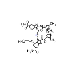 CCn1nc(C)cc1C(=O)Nc1nc2cc(S(N)(=O)=O)ccc2n1C/C=C/Cn1c(NC(=O)c2cc(C)nn2C)nc2cc(C(N)=O)cc(OCCC3CNC3)c21